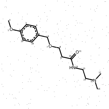 COc1ccc(COC[CH]C(=O)NCCN(C)C)cc1